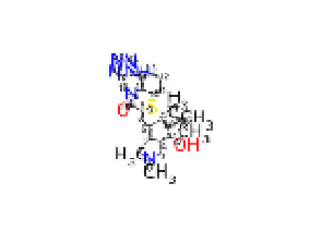 CN(C)Cc1cc(/C=C2\Sc3ccccc3N(Cc3nnn[nH]3)C2=O)cc(C(C)(C)C)c1O